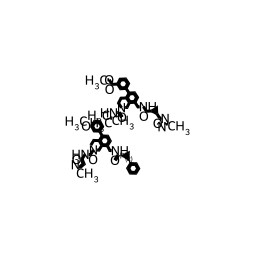 COC(=O)c1cccc(-c2ccc(CNC(=O)C3CC3c3nc(C)no3)c3c2CCN(C(=O)NC(C)(C)C)C3)c1.COc1cccc(-c2ccc(CNC(=O)[C@@H]3C[C@H]3c3ccccc3)c3c2CCN(C(=O)Nc2cc(C)no2)C3)c1